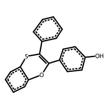 Oc1ccc(C2=C(c3ccccc3)Sc3ccccc3O2)cc1